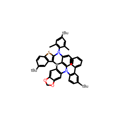 Cc1cc(C(C)(C)C)cc(C)c1N1c2cccc3c2B(c2cc4c(cc2N3c2ccc(C(C)(C)C)cc2-c2ccccc2)OCO4)c2c1sc1ccc(C(C)(C)C)cc21